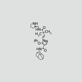 CC(C)Oc1c(C(=O)NC2C3CC4CC(C3)CC2C4)cnn1/C=C/C(C)(C)C(=O)NC[C@H]1CCCN1